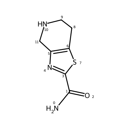 NC(=O)c1nc2c(s1)CCNC2